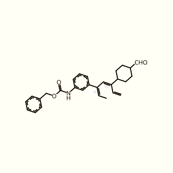 C=C/C(=C\C(=C/C)c1cccc(NC(=O)OCc2ccccc2)c1)C1CCC(C=O)CC1